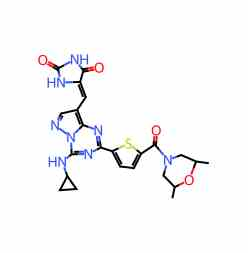 CC1CN(C(=O)c2ccc(-c3nc(NC4CC4)n4ncc(/C=C5\NC(=O)NC5=O)c4n3)s2)CC(C)O1